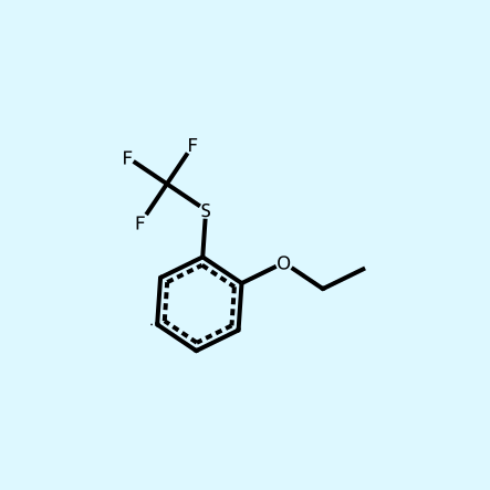 CCOc1cc[c]cc1SC(F)(F)F